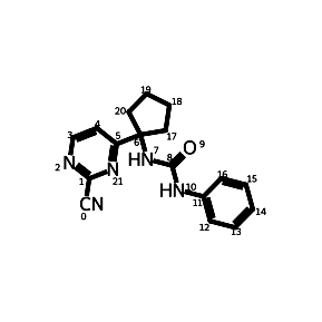 N#Cc1nccc(C2(NC(=O)Nc3ccccc3)CCCC2)n1